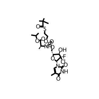 Cc1cn([C@@H]2O[C@H](CO[P@@](=O)(N[C@@H](C)C(=O)OC(C)C)OCCSC(=O)C(C)(C)C)[C@@H](O)[C@@]2(F)Cl)c(=O)[nH]c1=O